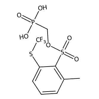 Cc1cccc(SC(F)(F)F)c1S(=O)(=O)OCP(=O)(O)O